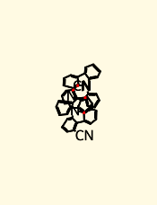 N#Cc1cccc(-n2c3ccccc3c3c(C#N)cccc32)c1-c1ccccc1-n1c2ccccc2c2cccc(-n3c4ccccc4c4ccccc43)c21